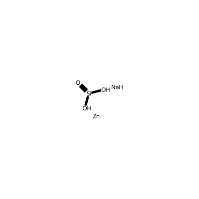 O=[Si](O)O.[NaH].[Zn]